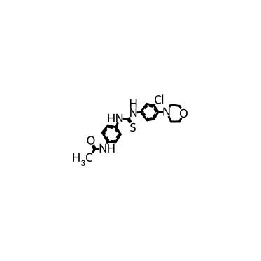 CC(=O)Nc1ccc(NC(=S)Nc2ccc(N3CCOCC3)c(Cl)c2)cc1